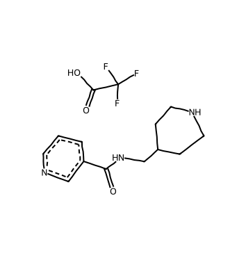 O=C(NCC1CCNCC1)c1cccnc1.O=C(O)C(F)(F)F